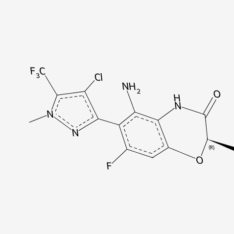 C[C@H]1Oc2cc(F)c(-c3nn(C)c(C(F)(F)F)c3Cl)c(N)c2NC1=O